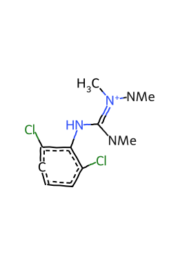 CNC(Nc1c(Cl)cccc1Cl)=[N+](C)NC